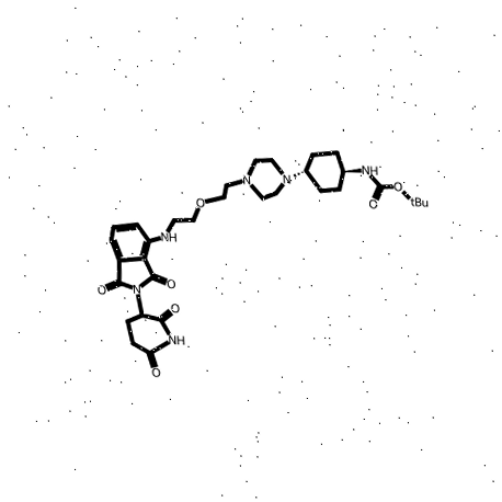 CC(C)(C)OC(=O)N[C@H]1CC[C@H](N2CCN(CCOCCNc3cccc4c3C(=O)N(C3CCC(=O)NC3=O)C4=O)CC2)CC1